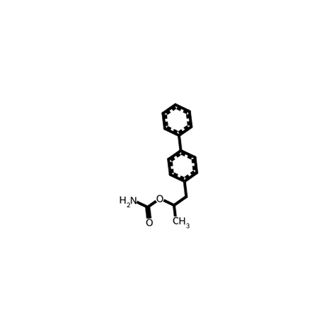 CC(Cc1ccc(-c2ccccc2)cc1)OC(N)=O